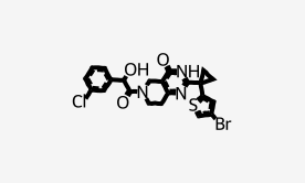 O=C(C(O)c1cccc(Cl)c1)N1CCc2nc(C3(c4cc(Br)cs4)CC3)[nH]c(=O)c2C1